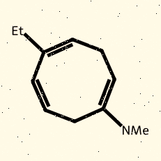 CC/C1=C/CC=C(NC)CC=C1